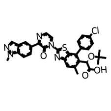 Cc1cc2nc(-n3ccnc(-c4ccc5c(cnn5C)c4)c3=O)sc2c(-c2ccc(Cl)cc2)c1[C@H](OC(C)(C)C)C(=O)O